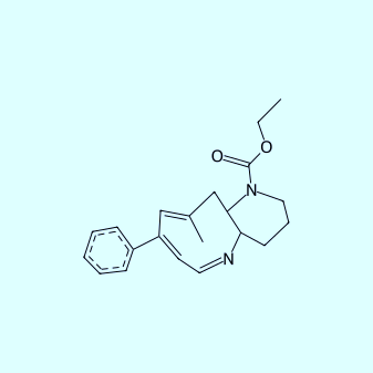 CCOC(=O)N1CCCC2\N=C/C=C(c3ccccc3)\C=C(/C)CC21